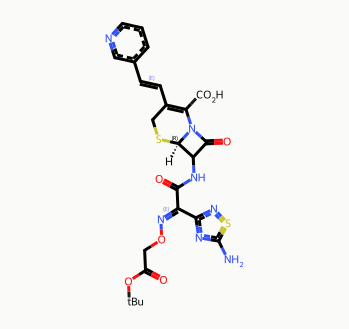 CC(C)(C)OC(=O)CO/N=C(/C(=O)NC1C(=O)N2C(C(=O)O)=C(/C=C/c3cccnc3)CS[C@H]12)c1nsc(N)n1